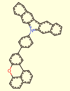 c1ccc2cc3c(cc2c1)c1cc2ccccc2cc1n3-c1ccc(-c2ccc3c(c2)-c2cccc4cccc(c24)O3)cc1